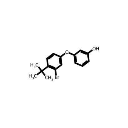 CC(C)(C)c1ccc(Oc2cccc(O)c2)cc1Br